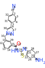 N#Cc1ccc(-c2cnn(Cc3cccc(C(=O)Nc4nc5c(s4)CC(N)CC5)c3)c2)cc1